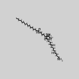 CCCCCCCCCCCCCCCC(=O)NCCCC[C@](N)(C(=O)NCCCNCCCCNCCCN)C(C)CC